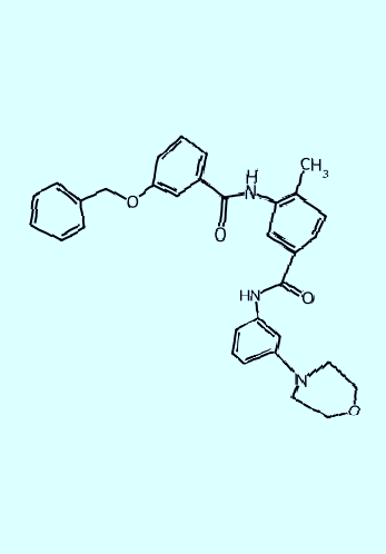 Cc1ccc(C(=O)Nc2cccc(N3CCOCC3)c2)cc1NC(=O)c1cccc(OCc2ccccc2)c1